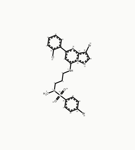 CN(CCCNc1cc(-c2ccccc2Cl)nc2c(Br)cnn12)S(=O)(=O)c1ccc(Br)cc1